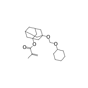 C=C(C)C(=O)OC12CC3CC(CC(OCOC4CCCCC4)(C3)C1)C2